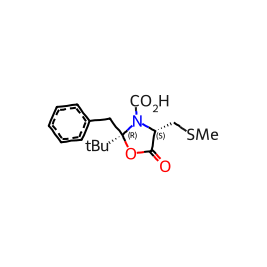 CSC[C@@H]1C(=O)O[C@](Cc2ccccc2)(C(C)(C)C)N1C(=O)O